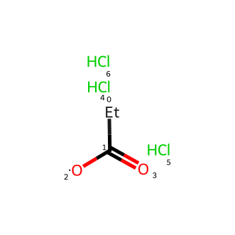 CCC([O])=O.Cl.Cl.Cl